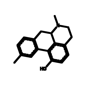 Cc1ccc2c(c1)-c1c(O)ccc3c1C(C2)N(C)CC3